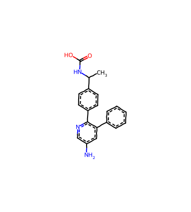 CC(NC(=O)O)c1ccc(-c2ncc(N)cc2-c2ccccc2)cc1